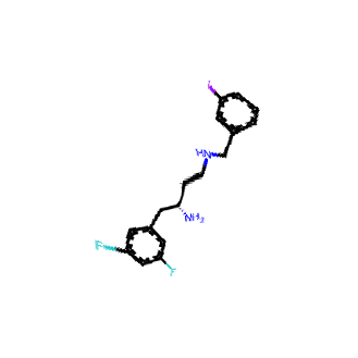 N[C@@H]([CH]CNCc1cccc(I)c1)Cc1cc(F)cc(F)c1